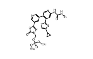 CCNC(=O)Nc1cc(-c2nc(C3CC3)cs2)c(-c2cncc(-c3nn(COP(=O)(OC(C)(C)C)OC(C)(C)C)c(=O)o3)c2)cn1